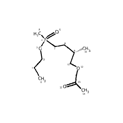 CCCOP(C)(=O)CC[C@H](C)COC(C)=O